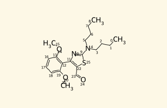 CCCCN(CCCC)c1nc(-c2c(OC)cccc2OC)c(C=O)s1